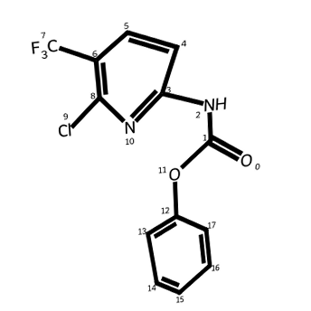 O=C(Nc1ccc(C(F)(F)F)c(Cl)n1)Oc1ccccc1